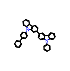 C1=CC2c3ccc(-c4ccc5c(c4)c4ccccc4n5-c4ccccc4)cc3N(c3ccc(-c4ccccc4)cc3)C2C=C1